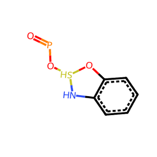 O=PO[SH]1Nc2ccccc2O1